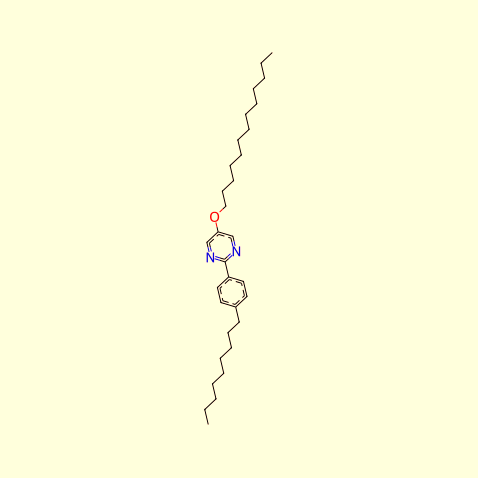 CCCCCCCCCCCCCOc1cnc(-c2ccc(CCCCCCCCC)cc2)nc1